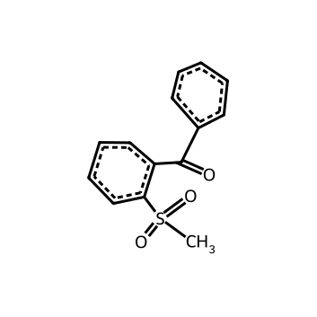 CS(=O)(=O)c1ccccc1C(=O)c1ccccc1